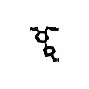 CC(=O)OC[C@H]1O[C@H](c2ccc(O)cc2)C=C[C@@H]1OC(C)=O